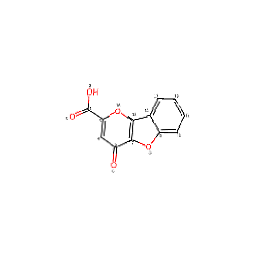 O=C(O)c1cc(=O)c2oc3ccccc3c2o1